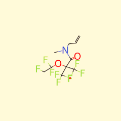 C=CCN(C)C(=O)C(OC(F)(F)CF)(C(F)(F)F)C(F)(F)F